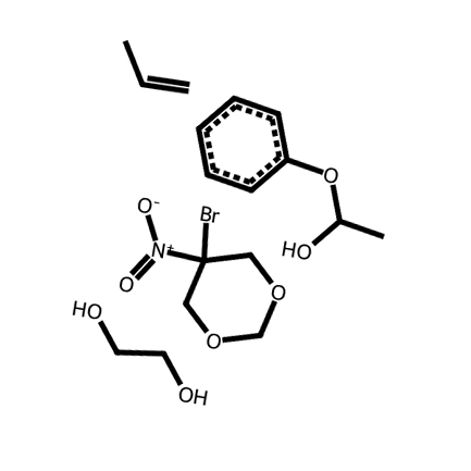 C=CC.CC(O)Oc1ccccc1.O=[N+]([O-])C1(Br)COCOC1.OCCO